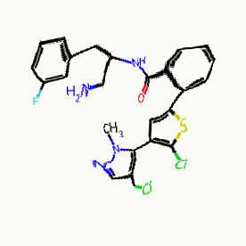 Cn1ncc(Cl)c1-c1cc(-c2ccccc2C(=O)NC(CN)Cc2cccc(F)c2)sc1Cl